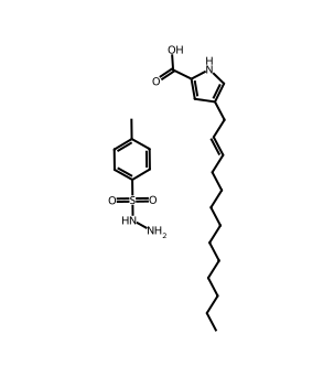 CCCCCCCCCCC=CCc1c[nH]c(C(=O)O)c1.Cc1ccc(S(=O)(=O)NN)cc1